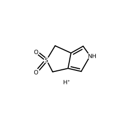 O=S1(=O)Cc2c[nH]cc2C1.[H+]